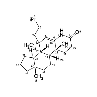 CC(C)CCC1(C)C=C2NC(=O)CC[C@]2(C)[C@@H]2CC[C@]3(C)CCC[C@H]3[C@@H]21